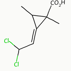 CC1C(=CC(Cl)Cl)C1(C)C(=O)O